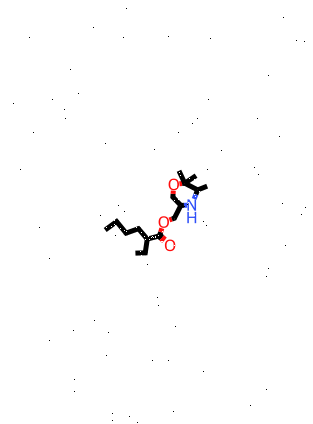 CCCCC(CC)C(=O)OCC1COC(C)(C)C(C)N1